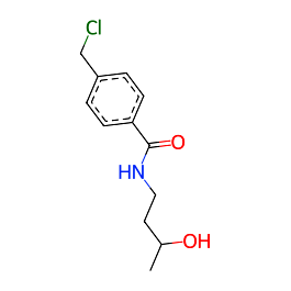 CC(O)CCNC(=O)c1ccc(CCl)cc1